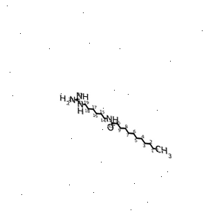 CCCCCCCCCCCC(=O)NCCCCCCNC(=N)N